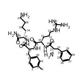 Cc1ccc(C[C@H](NC(=O)[C@@H](CCCNC(=N)N)NC(=O)[C@@H](N)Cc2ccccc2)C(=O)N[C@@H](CCCCN)C(N)=O)cc1